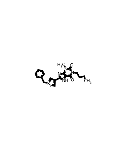 CCCCn1c(=O)c2[nH]c(-c3cnn(Cc4ccccc4)c3)nc2n(C)c1=O